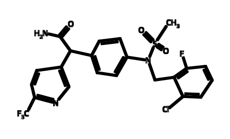 CS(=O)(=O)N(Cc1c(F)cccc1Cl)c1ccc(C(C(N)=O)c2ccc(C(F)(F)F)nc2)cc1